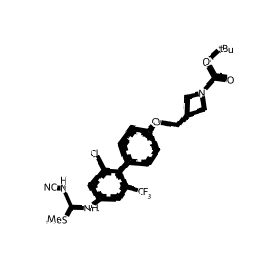 CSC(NC#N)Nc1cc(Cl)c(-c2ccc(OCC3CN(C(=O)OC(C)(C)C)C3)cc2)c(C(F)(F)F)c1